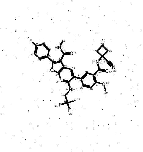 CNC(=O)c1c(-c2ccc(F)cc2)oc2nc(NCC(F)(F)F)c(-c3ccc(OC)c(C(=O)NC4(C#N)CCC4)c3)cc12